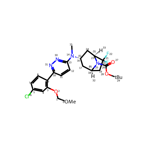 COCOc1cc(Cl)ccc1-c1ccc(N(C)[C@H]2C[C@@H]3CC(F)(F)[C@H](C2)N3C(=O)OC(C)(C)C)nn1